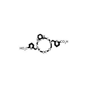 O=C(O)c1cccc(CN2CCC[C@@H]3CCCC[C@H]3OCCN(Cc3cccc(C(=O)O)n3)CCOCCOCC2)n1